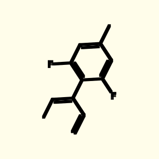 C=C/C(=C\C)c1c(F)cc(C)cc1F